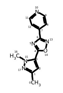 Cc1cc(-c2nc(-c3ccncc3)no2)n(C)n1